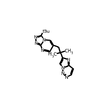 CC(C)(C)c1nnc2ncc(CC(C)(C)c3cn4nnccc4n3)cn12